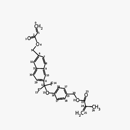 C=CC(=O)OCc1ccc2cc(C(F)(F)Oc3ccc(COC(=O)C(=C)C)cc3)ccc2c1